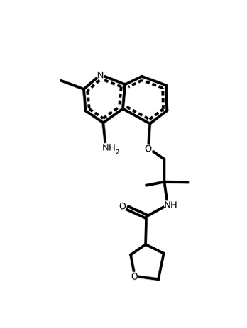 Cc1cc(N)c2c(OCC(C)(C)NC(=O)C3CCOC3)cccc2n1